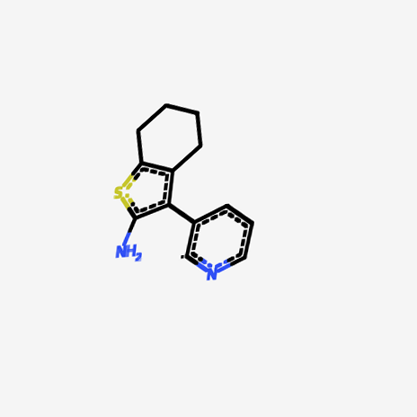 Nc1sc2c(c1-c1[c]nccc1)CCCC2